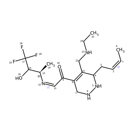 C/C=C\CC1NNCC(C(=O)/C=N\[C@H](C)C(O)C(F)(F)F)=C1CNCC